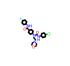 O=C(Nc1ccc(F)cc1)c1ccc(N(CCN2CCOCC2)C(=O)Nc2ccc(Cl)cc2)cc1